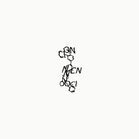 CN(C)C(=O)c1ccc(-c2cnc(N3CCN(C(=O)OCc4ccccc4Cl)CC3)c(C#N)c2)cc1Cl